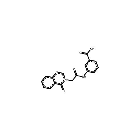 O=C(Cn1cnc2ccccc2c1=O)Nc1cccc(C(=O)O)c1